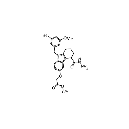 CCCOC(=O)COc1ccc2c(c1)c1c(n2Cc2cc(OC)cc(C(C)C)c2)CCCC1C(=O)NN